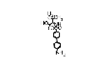 CC(C)C(NS(=O)(=O)c1ccc(-c2ccc(N)cc2)cc1)C(=O)O